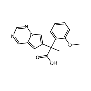 COc1ccccc1C(C)(C(=O)O)c1cc2cncnn2c1